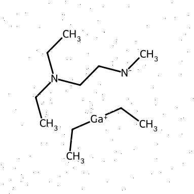 CCN(CC)CC[N-]C.C[CH2][Ga+][CH2]C